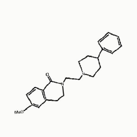 COc1ccc2c(c1)CCN(CCN1CCC(c3ccccc3)CC1)C2=O